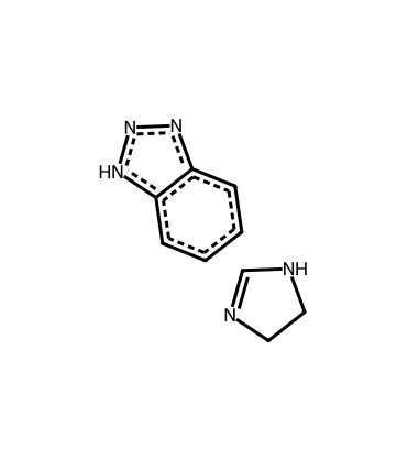 C1=NCCN1.c1ccc2[nH]nnc2c1